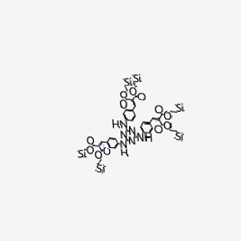 C[Si](C)(C)CCOC(=O)C(=Cc1ccc(Nc2nc(Nc3ccc(C=C(C(=O)OCC[Si](C)(C)C)C(=O)OCC[Si](C)(C)C)cc3)nc(Nc3ccc(/C=C(\C(=O)OCC[Si](C)(C)C)C(=O)OC[Si](C)(C)C)cc3)n2)cc1)C(=O)OCC[Si](C)(C)C